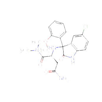 COc1ccccc1C1(N[C@@H](CC(N)=O)C(=O)N(C)C)C(=O)Nc2ccc(Cl)cc21